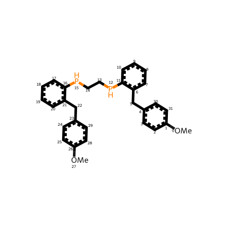 COc1ccc(Cc2ccccc2PCCPc2ccccc2Cc2ccc(OC)cc2)cc1